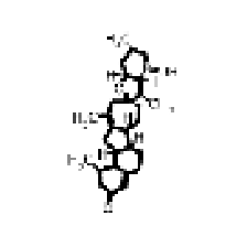 CC1=C2C[C@@H]3C4C(=CC(=O)C[C@H]4C)CC[C@H]3[C@@H]2CC[C@@]2(C1)O[C@@H]1C[C@H](C)CN(O)[C@H]1[C@H]2C